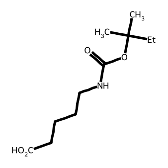 CCC(C)(C)OC(=O)NCCCCC(=O)O